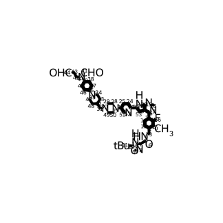 Cc1c(CNC(=O)C2=NOC(C(C)(C)C)N2)ccc(-c2ncnc3[nH]c(-c4ccc(N5CCN(CC6CCN(c7ccc(N(C=O)CCC=O)cc7)CC6)CC5)cn4)cc23)c1F